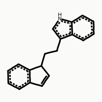 C1=CC(CCc2c[nH]c3ccccc23)c2ccccc21